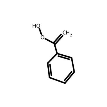 C=C(OO)c1ccccc1